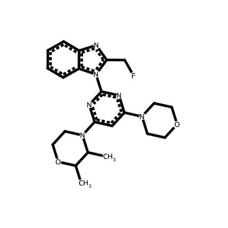 CC1OCCN(c2cc(N3CCOCC3)nc(-n3c(CF)nc4ccccc43)n2)C1C